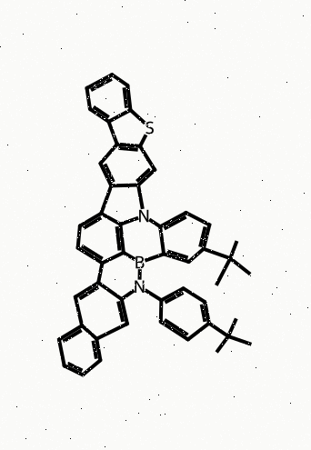 CC(C)(C)c1ccc(N2B3c4cc(C(C)(C)C)ccc4-n4c5cc6sc7ccccc7c6cc5c5ccc(c3c54)-c3cc4ccccc4cc32)cc1